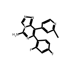 Cc1cc(-c2c(-c3ccc(F)cc3F)nc(N)n3cnnc23)ccn1